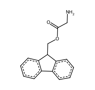 NCC(=O)OCC1c2ccccc2-c2ccccc21